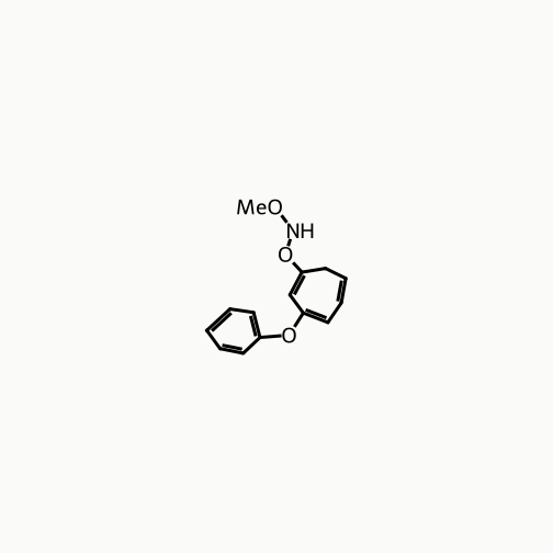 CONOC1=CC(Oc2ccccc2)=CC=CC1